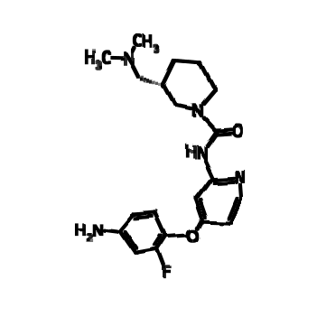 CN(C)C[C@@H]1CCCN(C(=O)Nc2cc(Oc3ccc(N)cc3F)ccn2)C1